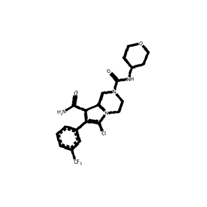 NC(=O)C1C(c2cccc(C(F)(F)F)c2)=C(Cl)N2CCN(C(=O)NC3CCOCC3)CC12